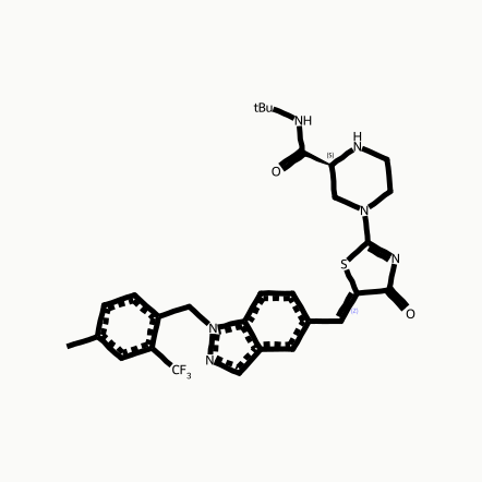 Cc1ccc(Cn2ncc3cc(/C=C4\SC(N5CCN[C@H](C(=O)NC(C)(C)C)C5)=NC4=O)ccc32)c(C(F)(F)F)c1